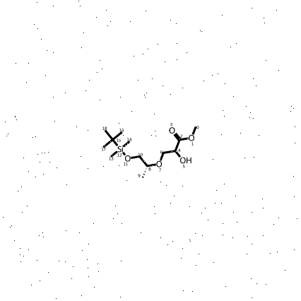 COC(=O)C(O)CO[C@H](C)CO[Si](C)(C)C(C)(C)C